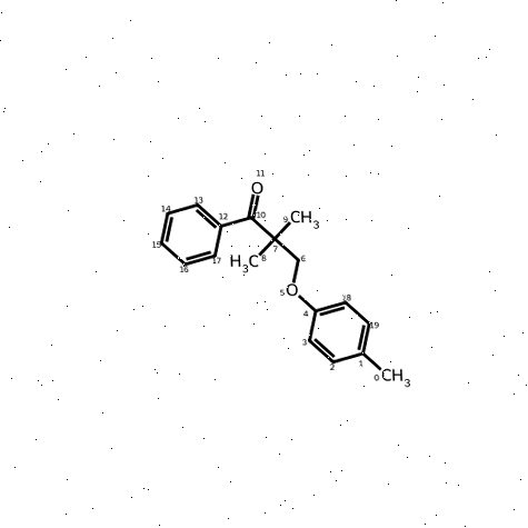 Cc1ccc(OCC(C)(C)C(=O)c2ccccc2)cc1